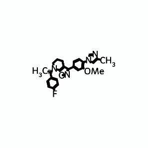 COc1cc(-c2noc3c2CCCN3[C@H](C)c2ccc(F)cc2)ccc1-n1cnc(C)c1